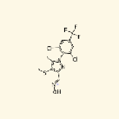 CSc1c(/C=N/O)nn(-c2c(Cl)cc(C(F)(F)F)cc2Cl)c1C